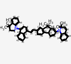 CC1(C)CCN(c2ccc(/C=C/c3ccc4c(c3)C(C)(C)C3C=C(N5c6ccccc6C=CC5(C)C)C=CC43)c3ccccc23)c2ccccc21